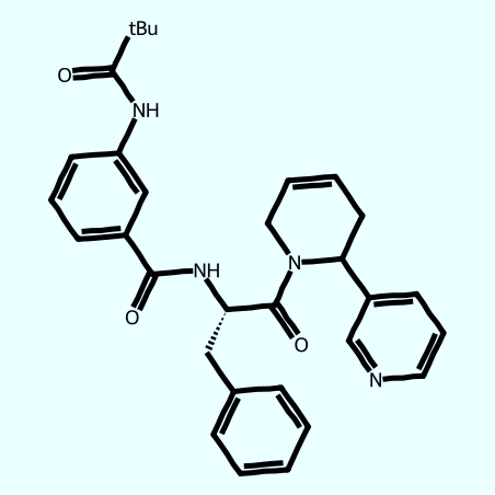 CC(C)(C)C(=O)Nc1cccc(C(=O)N[C@@H](Cc2ccccc2)C(=O)N2CC=CCC2c2cccnc2)c1